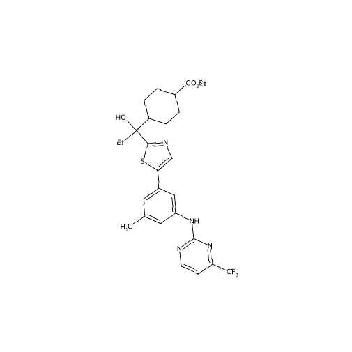 CCOC(=O)C1CCC(C(O)(CC)c2ncc(-c3cc(C)cc(Nc4nccc(C(F)(F)F)n4)c3)s2)CC1